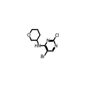 Clc1ncc(Br)c(NC2CCCOC2)n1